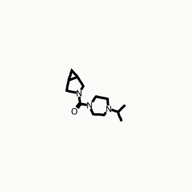 CC(C)N1CCN(C(=O)N2CC3CC3C2)CC1